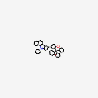 c1ccc(-n2c3ccc(-c4ccc5c(c4)C(c4ccccc4)(c4ccccc4)c4ccccc4O5)cc3c3ccc4ccccc4c32)cc1